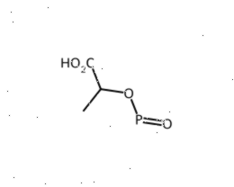 CC(OP=O)C(=O)O